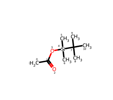 [CH2]C(=O)O[Si](C)(C)C(C)(C)C